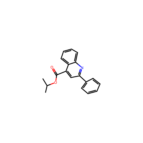 CC(C)OC(=O)c1cc(-c2ccccc2)nc2ccccc12